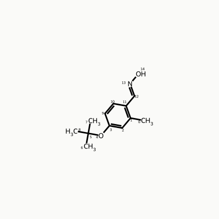 Cc1cc(OC(C)(C)C)ccc1C=NO